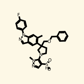 Cc1cc2c(cnn2-c2ccc(F)cc2)cc1C1(COCc2ccccc2)CCN(c2c([SH](=O)=O)cnn2C)C1